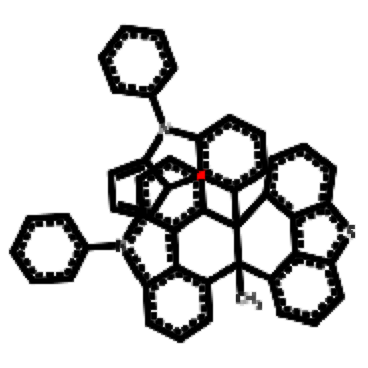 CC12c3cccc4sc5cccc(c5c34)C1(c1cccc3c1C1C=CC=C1N3c1ccccc1)c1cccc3c1c1c2cccc1n3-c1ccccc1